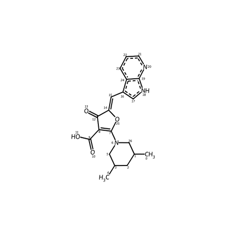 CC1CC(C)CN(C2=C(C(=O)O)C(=O)C(=Cc3c[nH]c4ncccc34)O2)C1